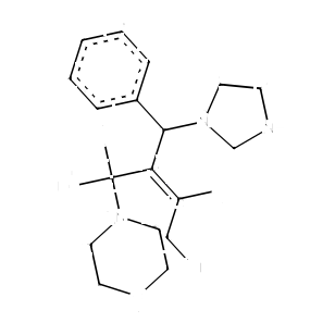 CC/C(C)=C(/C(c1ccccc1)N1CCNC1)C(C)(Cl)N1CCOCC1